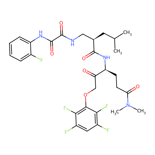 CC(C)C[C@H](CNC(=O)C(=O)Nc1ccccc1F)C(=O)N[C@@H](CCC(=O)N(C)C)C(=O)COc1c(F)c(F)cc(F)c1F